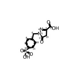 O=C(O)C1=NN(Cc2ccc(S(=O)(=O)O)cc2)C(=O)C1